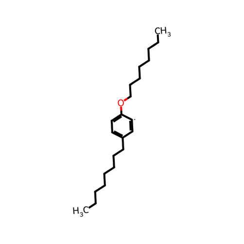 CCCCCCCCOc1[c]cc(CCCCCCCC)cc1